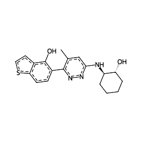 Cc1cc(N[C@@H]2CCCC[C@H]2O)nnc1-c1ccc2sccc2c1O